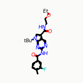 CCOCCNC(=O)c1cn(C(C)(C)C)c2nc(NC(=O)c3ccc(C)c(F)c3)ncc12